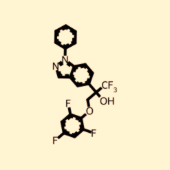 OC(COc1c(F)cc(F)cc1F)(c1ccc2c(cnn2-c2ccccc2)c1)C(F)(F)F